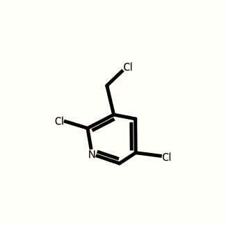 ClCc1cc(Cl)cnc1Cl